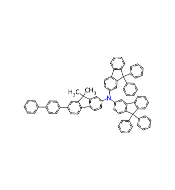 CC1(C)c2cc(-c3ccc(-c4ccccc4)cc3)ccc2-c2ccc(N(c3ccc4c(c3)-c3ccccc3C4(c3ccccc3)c3ccccc3)c3ccc4c(c3)C(c3ccccc3)(c3ccccc3)c3ccccc3-4)cc21